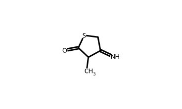 CC1C(=N)CSC1=O